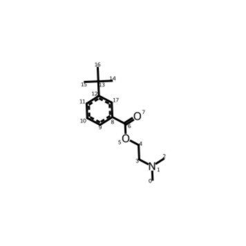 CN(C)CCOC(=O)c1cccc(C(C)(C)C)c1